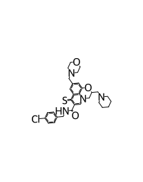 O=C(NCc1ccc(Cl)cc1)c1cn2c3c(cc(CN4CCOCC4)cc3c1=S)OC(CN1CCCCC1)C2